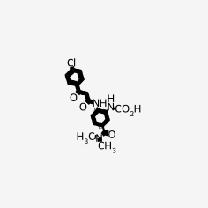 CN(C)C(=O)[C@H]1CC[C@H](NC(=O)CC(=O)c2ccc(Cl)cc2)[C@H](NC(=O)O)C1